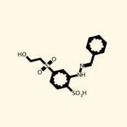 O=S(=O)(O)c1ccc(S(=O)(=O)CCO)cc1NN=Cc1ccccc1